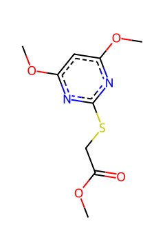 COC(=O)CSc1nc(OC)cc(OC)n1